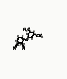 Cc1cc(C)cc(Oc2cccc(C#N)c2C#N)c1